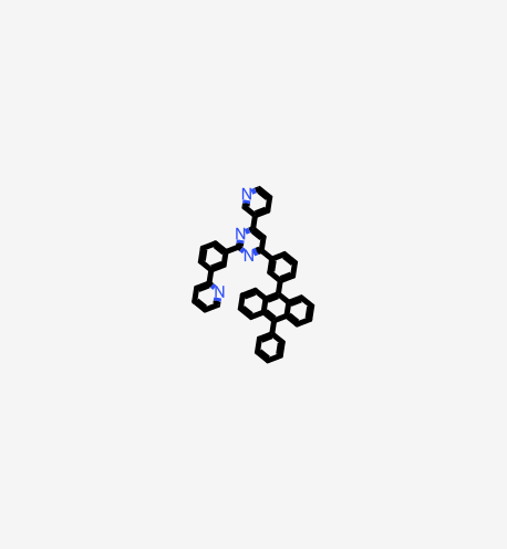 c1ccc(-c2c3ccccc3c(-c3cccc(-c4cc(-c5cccnc5)nc(-c5cccc(-c6ccccn6)c5)n4)c3)c3ccccc23)cc1